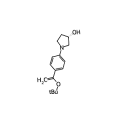 C=C(OC(C)(C)C)c1ccc(N2CC[C@H](O)C2)cc1